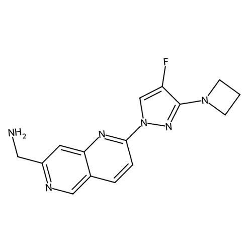 NCc1cc2nc(-n3cc(F)c(N4CCC4)n3)ccc2cn1